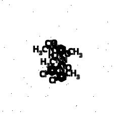 COc1ccc(C(=O)NC(C)C)cc1-c1nc2c(n1C(C)C)C1c3ccc(Cl)cc3-c3c(Cl)ccc(C)c3N1C2=O